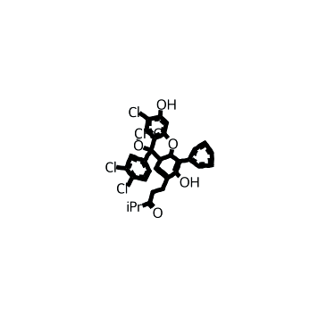 CC(C)C(=O)CCC1=CC2C(Oc3cc(O)c(Cl)cc3C2(OC=O)c2ccc(Cl)c(Cl)c2)C(c2ccccc2)=C1O